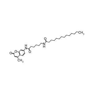 CCCCCCCCCCCCCC(=O)NCCCCCC(=O)Nc1ccc2c(C)cc(=O)oc2c1